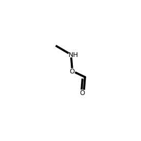 CNOC=O